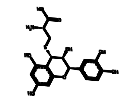 N[C@@H](CS[C@H]1c2c(O)cc(O)cc2O[C@H](c2ccc(O)c(O)c2)[C@@H]1O)C(=O)O